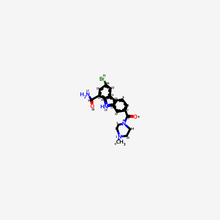 CN1CCN(C(=O)c2ccc3c(c2)[nH]c2c(C(N)=O)cc(Br)cc23)CC1